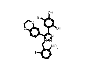 CCc1cc(-c2nnn(Cc3c(F)cccc3[N+](=O)[O-])c2-c2ccc3c(c2)OCCO3)c(O)cc1O